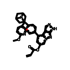 C=CC(=O)Oc1cc(-c2ccc(N3CC4CC(C3)N4Cc3ccc(OC)nc3)nc2)c2c3cn[nH]c3nn2c1